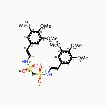 COc1cc(C=CNS(=O)(=O)CS(=O)(=O)NC=Cc2cc(OC)c(OC)c(OC)c2)cc(OC)c1OC